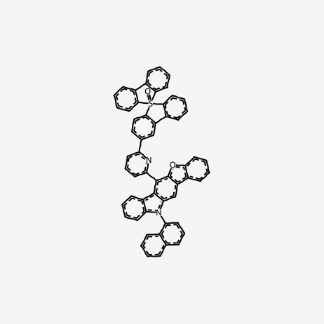 O=S12(c3ccccc3-c3ccccc31)c1ccccc1-c1cc(-c3cccc(-c4c5oc6ccccc6c5cc5c4c4ccccc4n5-c4cccc5ccccc45)n3)ccc12